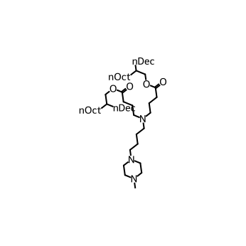 CCCCCCCCCCC(CCCCCCCC)COC(=O)CCCN(CCCCN1CCN(C)CC1)CCCC(=O)OCC(CCCCCCCC)CCCCCCCCCC